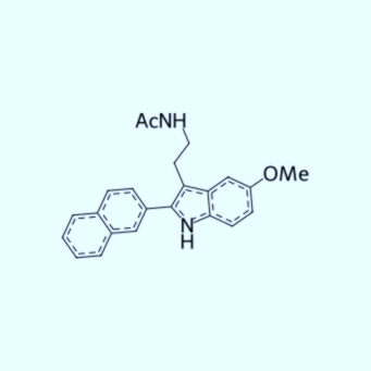 COc1ccc2[nH]c(-c3ccc4ccccc4c3)c(CCNC(C)=O)c2c1